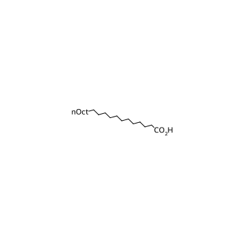 [CH2]CCCCCCCCCCCCCCCCCCC(=O)O